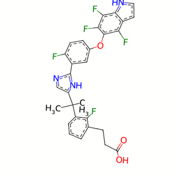 CC(C)(c1cnc(-c2cc(Oc3c(F)c(F)c4[nH]ccc4c3F)ccc2F)[nH]1)c1cccc(CCC(=O)O)c1F